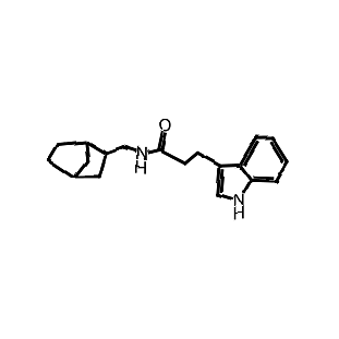 O=C(CCc1c[nH]c2ccccc12)NCC1CC2CCC1C2